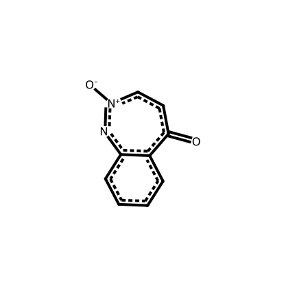 O=c1cc[n+]([O-])nc2ccccc12